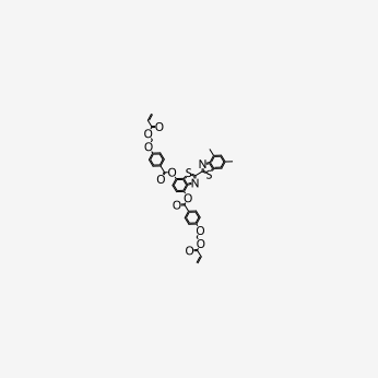 C=CC(=O)OCOc1ccc(C(=O)Oc2ccc(OC(=O)c3ccc(OCOC(=O)C=C)cc3)c3sc(-c4nc5c(C)cc(C)cc5s4)nc23)cc1